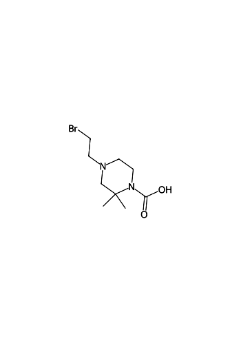 CC1(C)CN(CCBr)CCN1C(=O)O